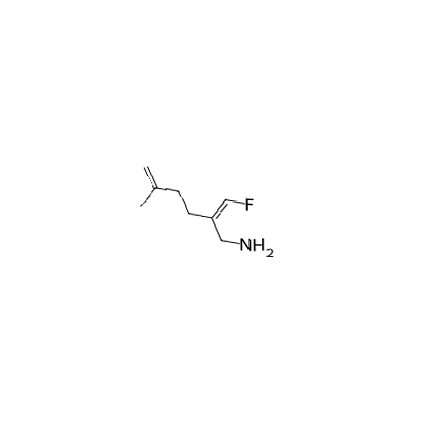 C=C(C)CCC(=CF)CN